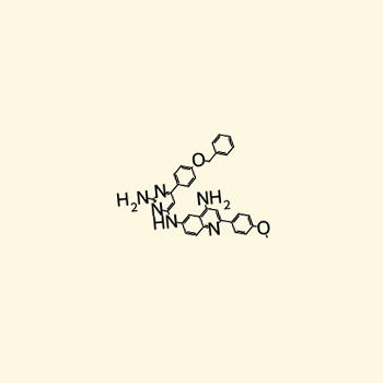 COc1ccc(-c2cc(N)c3cc(Nc4cc(-c5ccc(OCc6ccccc6)cc5)nc(N)n4)ccc3n2)cc1